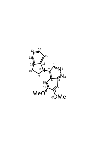 COc1cc2nncc(N3CCc4ccccc43)c2cc1OC